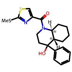 CSc1nc(C(=O)N2CCC(O)(c3ccccc3)[C@H]3CCCC[C@@H]32)cs1